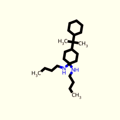 CCCCNC1(NCCCC)CCC(C(C)(C)C2CCCCC2)CC1